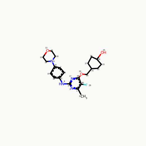 Cc1nc(Nc2ccc(N3CCOCC3)cc2)nc(OCC2CCC(O)CC2)c1F